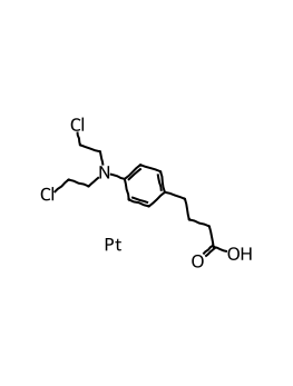 O=C(O)CCCc1ccc(N(CCCl)CCCl)cc1.[Pt]